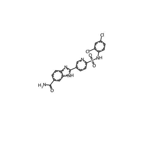 NC(=O)c1ccc2nc(-c3ccc(S(=O)(=O)Nc4ccc(Cl)cc4Cl)nc3)[nH]c2c1